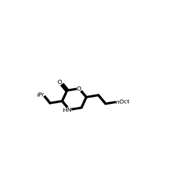 CCCCCCCCCCC1CNC(CC(C)C)C(=O)O1